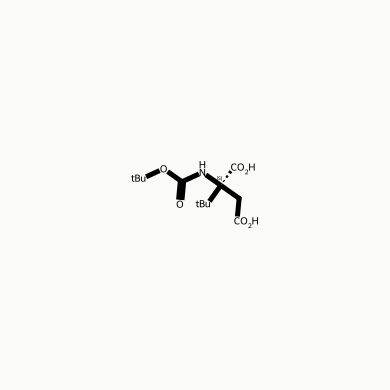 CC(C)(C)OC(=O)N[C@](CC(=O)O)(C(=O)O)C(C)(C)C